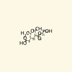 CCOCC.O=C(O)CCCCC(=O)OCCO